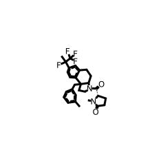 Cc1cccc(CC23CCN(C(=O)[C@@H]4CCC(=O)N4C)C2CCc2cc(C(C)(F)C(F)(F)F)ccc23)c1